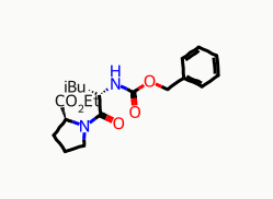 CCOC(=O)[C@@H]1CCCN1C(=O)[C@@H](NC(=O)OCc1ccccc1)[C@@H](C)CC